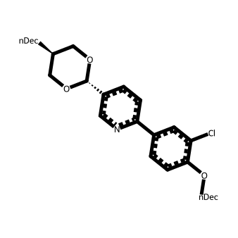 CCCCCCCCCCOc1ccc(-c2ccc([C@H]3OC[C@H](CCCCCCCCCC)CO3)cn2)cc1Cl